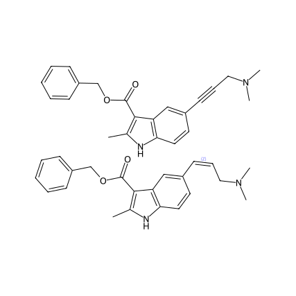 Cc1[nH]c2ccc(/C=C\CN(C)C)cc2c1C(=O)OCc1ccccc1.Cc1[nH]c2ccc(C#CCN(C)C)cc2c1C(=O)OCc1ccccc1